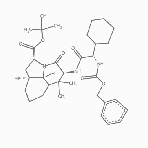 CC(C)(C)OC(=O)[C@@H]1C[C@@H]2CCCC3[C@@H]2N1C(=O)[C@@H](NC(=O)[C@@H](NC(=O)OCc1ccccc1)C1CCCCC1)C3(C)C